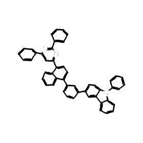 c1ccc(-c2cc(-c3ccc(-c4cccc(-c5ccc6c(c5)c5ccccc5n6-c5ccccc5)c4)c4ccccc34)nc(-c3ccccc3)n2)cc1